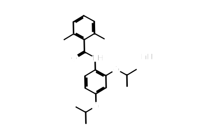 Cc1cccc(C)c1C(=O)Pc1ccc(OC(C)C)cc1OC(C)C.[LiH]